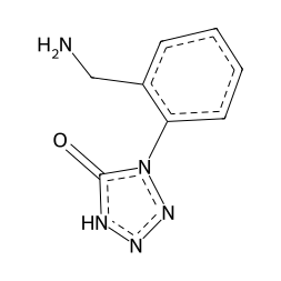 NCc1ccccc1-n1nn[nH]c1=O